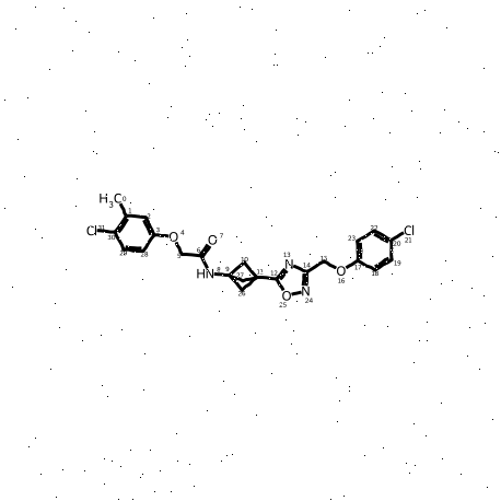 Cc1cc(OCC(=O)NC23CC(c4nc(COc5ccc(Cl)cc5)no4)(C2)C3)ccc1Cl